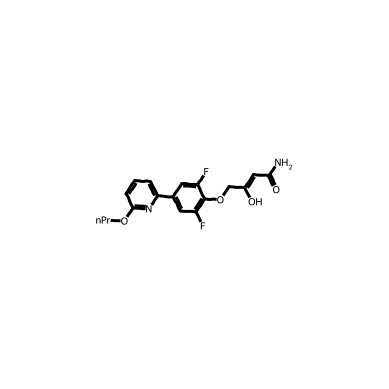 CCCOc1cccc(-c2cc(F)c(OC/C(O)=C/C(N)=O)c(F)c2)n1